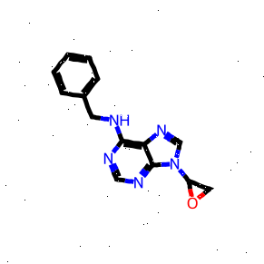 c1ccc(CNc2ncnc3c2ncn3C2CO2)cc1